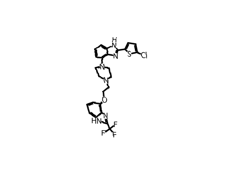 FC(F)(F)c1nc2c(OCCN3CCN(c4cccc5[nH]c(-c6ccc(Cl)s6)nc45)CC3)cccc2[nH]1